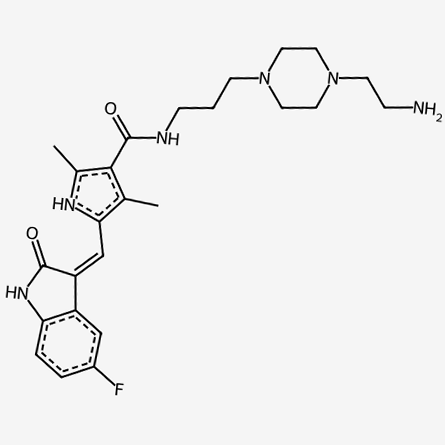 Cc1[nH]c(/C=C2\C(=O)Nc3ccc(F)cc32)c(C)c1C(=O)NCCCN1CCN(CCN)CC1